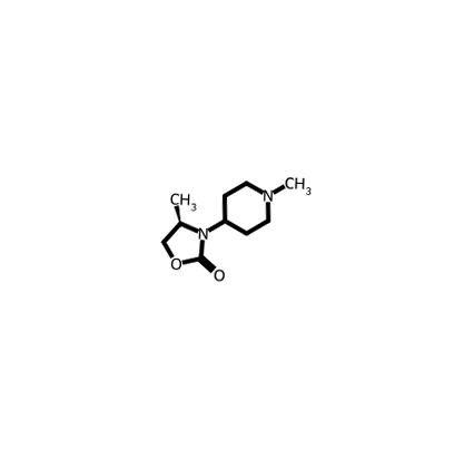 C[C@@H]1COC(=O)N1C1CCN(C)CC1